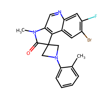 Cc1ccccc1N1CC2(C1)C(=O)N(C)c1cnc3cc(F)c(Br)cc3c12